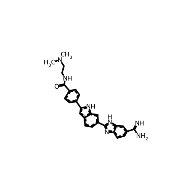 CN(C)CCNC(=O)c1ccc(-c2cc3ccc(-c4nc5ccc(C(=N)N)cc5[nH]4)cc3[nH]2)cc1